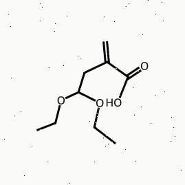 C=C(CC(OCC)OCC)C(=O)O